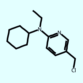 CCN(c1ccc(CCl)cn1)C1CCCCC1